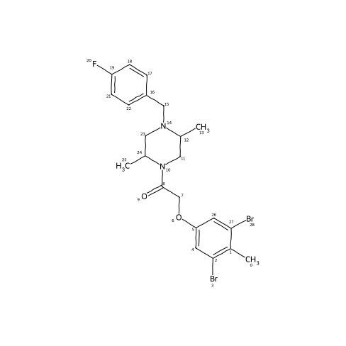 Cc1c(Br)cc(OCC(=O)N2CC(C)N(Cc3ccc(F)cc3)CC2C)cc1Br